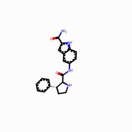 NC(=O)c1cc2cc(NC(=O)C3NCC[C@@H]3c3ccccc3)ccc2[nH]1